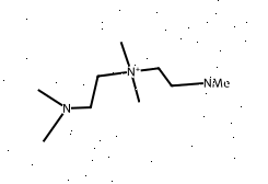 CNCC[N+](C)(C)CCN(C)C